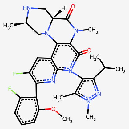 COc1cccc(F)c1-c1nc2c(cc1F)c1c(c(=O)n2-c2c(C(C)C)nn(C)c2C)N(C)C(=O)[C@H]2CN[C@H](C)CN12